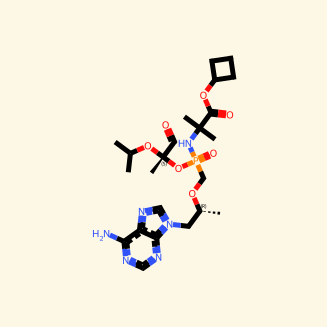 CC(C)O[C@](C)(C=O)OP(=O)(CO[C@H](C)Cn1cnc2c(N)ncnc21)NC(C)(C)C(=O)OC1CCC1